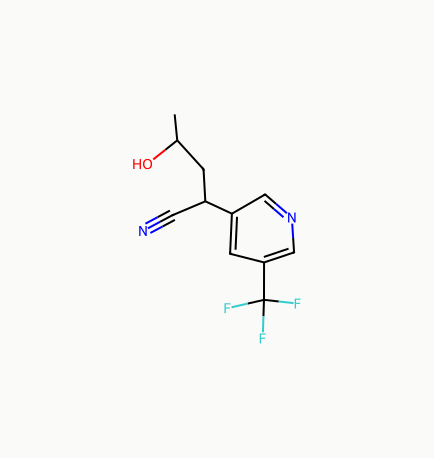 CC(O)CC(C#N)c1cncc(C(F)(F)F)c1